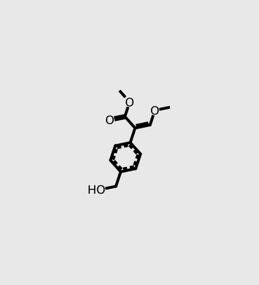 COC=C(C(=O)OC)c1ccc(CO)cc1